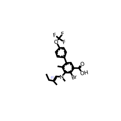 CC/C(C)=C/N(C)c1c(C)c(-c2ccc(OC(F)(F)F)cc2)cc(C(=O)O)c1Br